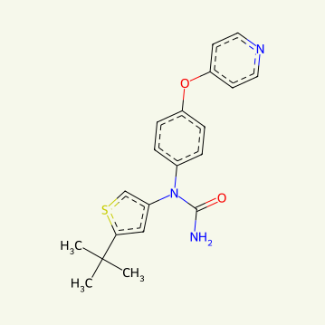 CC(C)(C)c1cc(N(C(N)=O)c2ccc(Oc3ccncc3)cc2)cs1